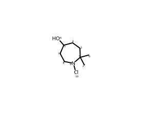 CC1(C)CCC(O)CCN1Cl